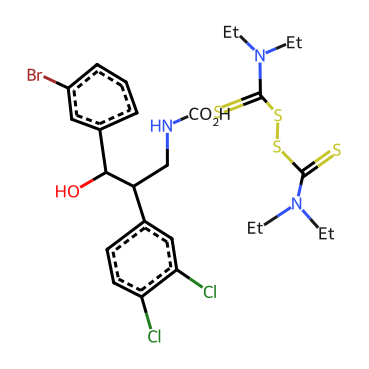 CCN(CC)C(=S)SSC(=S)N(CC)CC.O=C(O)NCC(c1ccc(Cl)c(Cl)c1)C(O)c1cccc(Br)c1